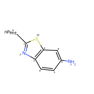 CCCCCc1nc2ccc(N)cc2s1